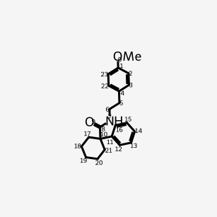 COc1ccc(CCNC(=O)C2(c3ccccc3)CCCCC2)cc1